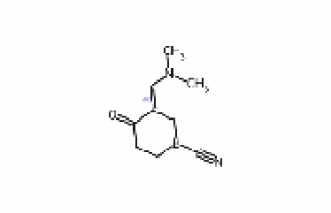 CN(C)/C=C1\CB(C#N)CCC1=O